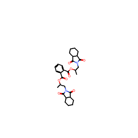 CC(CN1C(=O)C2CCCCC2C1=O)OC(=O)c1ccccc1C(=O)OC(C)CN1C(=O)C2CCCCC2C1=O